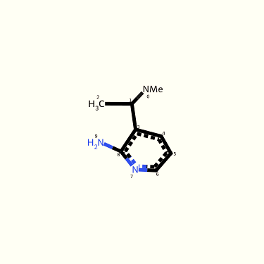 CNC(C)c1cccnc1N